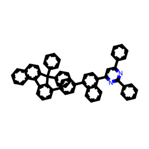 c1ccc(-c2cc(-c3ccc(-c4ccc(-c5cccc6c5C(c5ccccc5)(c5ccccc5)c5ccc7ccccc7c5-6)cc4)c4ccccc34)nc(-c3ccccc3)n2)cc1